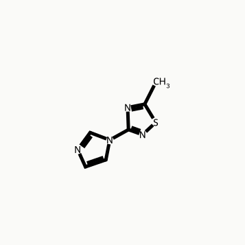 Cc1nc(-n2ccnc2)ns1